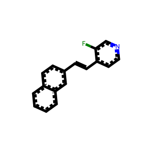 Fc1cnccc1C=Cc1ccc2ccccc2c1